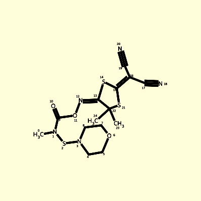 CN(SN1CCOCC1)C(=O)ON=C1SC(=C(C#N)C#N)SC1(C)C